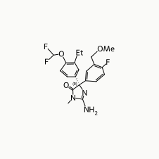 CCc1cc([C@]2(c3ccc(F)c(COC)c3)N=C(N)N(C)C2=O)ccc1OC(F)F